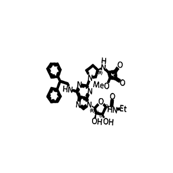 CCNC(=O)[C@H]1O[C@@H](n2cnc3c(NCC(c4ccccc4)c4ccccc4)nc(N4CC[C@@H](Nc5c(OC)c(=O)c5=O)C4)nc32)[C@H](O)[C@@H]1O